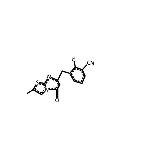 Cc1cn2c(=O)cc(Cc3cccc(C#N)c3F)nc2s1